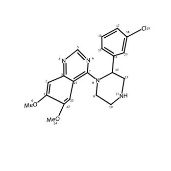 COc1cc2ncnc(N3CCNCC3c3cccc(Cl)c3)c2cc1OC